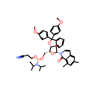 COc1ccc(C(O[C@@H]2C[C@H](n3ccc4cc(C)cc(C)c4c3=O)O[C@@H]2COP(OCCC#N)N(C(C)C)C(C)C)(c2ccccc2)c2ccc(OC)cc2)cc1